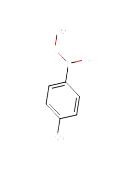 COOB(O)c1ccc(C#N)cc1